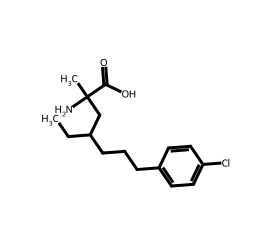 CCC(CCCc1ccc(Cl)cc1)CC(C)(N)C(=O)O